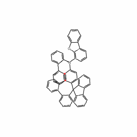 c1ccc(-c2ccccc2N(c2ccc3c(c2)-c2ccccc2-c2ccccc2C32c3ccccc3-c3ccccc32)c2cccc3c2oc2ccccc23)cc1